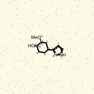 CO[C@H]1CC(c2cc[nH]n2)CC[C@H]1O